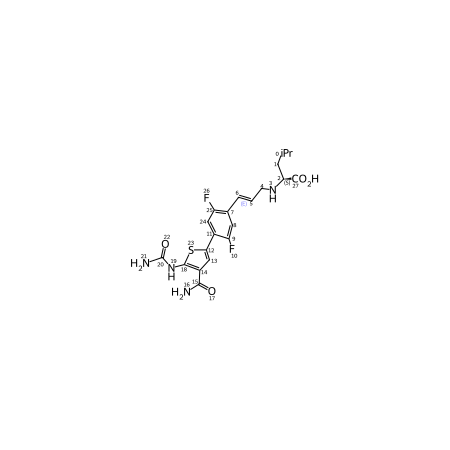 CC(C)C[C@H](NC/C=C/c1cc(F)c(-c2cc(C(N)=O)c(NC(N)=O)s2)cc1F)C(=O)O